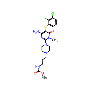 Cn1c(N2CCN(CCCNC(=O)OC(C)(C)C)CC2)nc(N)c(Sc2cccc(Cl)c2Cl)c1=O